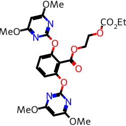 CCOC(=O)OCCOC(=O)c1c(Oc2nc(OC)cc(OC)n2)cccc1Oc1nc(OC)cc(OC)n1